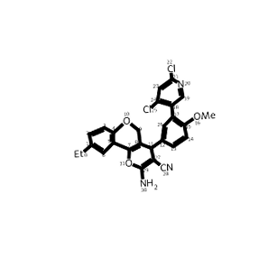 CCc1ccc2c(c1)C1=C(CO2)C(c2ccc(OC)c(-c3cnc(Cl)cc3Cl)c2)C(C#N)=C(N)O1